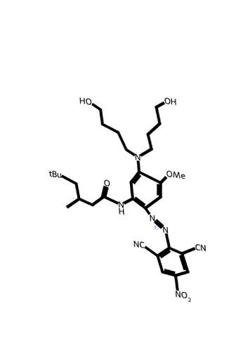 COc1cc(/N=N/c2c(C#N)cc([N+](=O)[O-])cc2C#N)c(NC(=O)CC(C)CC(C)(C)C)cc1N(CCCCO)CCCCO